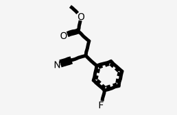 COC(=O)CC(C#N)c1cccc(F)c1